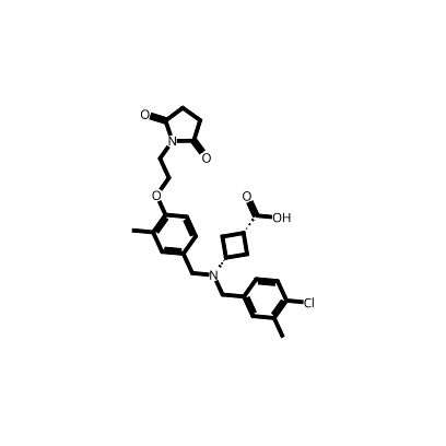 Cc1cc(CN(Cc2ccc(OCCN3C(=O)CCC3=O)c(C)c2)[C@H]2C[C@@H](C(=O)O)C2)ccc1Cl